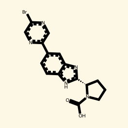 O=C(O)N1CCC[C@H]1c1nc2cc(-c3cnc(Br)cn3)ccc2[nH]1